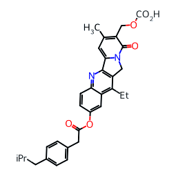 CCc1c2c(nc3ccc(OC(=O)Cc4ccc(CC(C)C)cc4)cc13)-c1cc(C)c(COC(=O)O)c(=O)n1C2